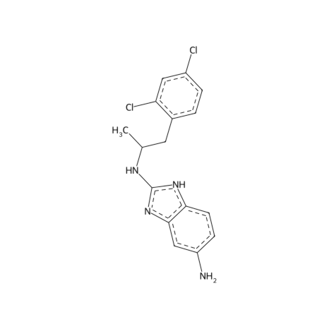 CC(Cc1ccc(Cl)cc1Cl)Nc1nc2cc(N)ccc2[nH]1